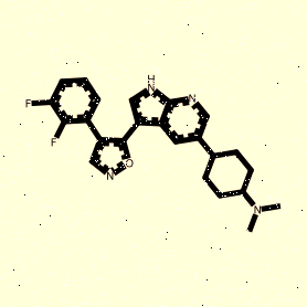 CN(C)C1CCC(c2cnc3[nH]cc(-c4oncc4-c4cccc(F)c4F)c3c2)CC1